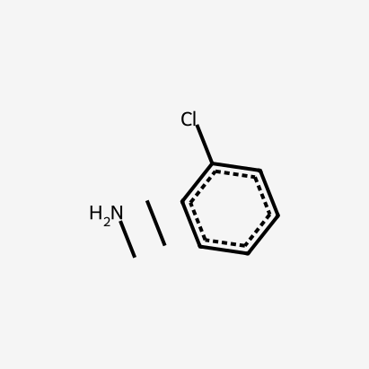 CC.CN.Clc1ccccc1